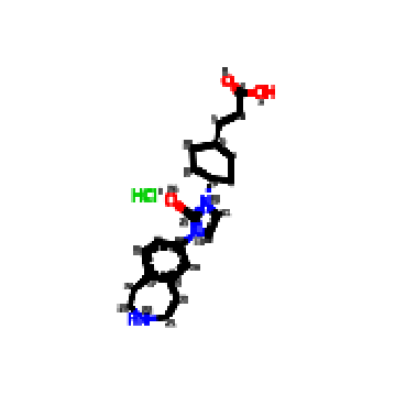 Cl.O=C(O)CC[C@H]1CC[C@H](n2ccn(-c3ccc4c(c3)CCNCC4)c2=O)CC1